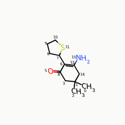 CC1(C)CC(=O)C(C2CCCS2)=C(N)C1